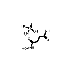 NC(=O)CCC(=O)NO.NP(=O)(O)O